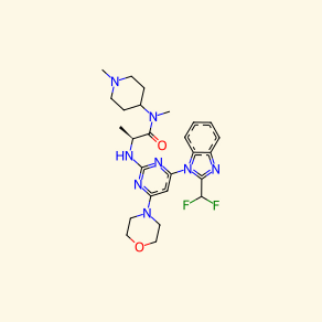 C[C@H](Nc1nc(N2CCOCC2)cc(-n2c(C(F)F)nc3ccccc32)n1)C(=O)N(C)C1CCN(C)CC1